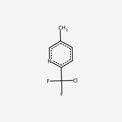 [CH2]c1ccc(C(F)(F)Cl)nc1